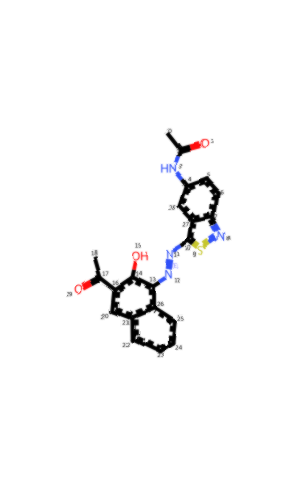 CC(=O)Nc1ccc2nsc(/N=N/c3c(O)c(C(C)=O)cc4ccccc34)c2c1